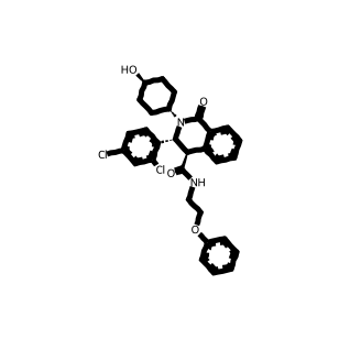 O=C(NCCOc1ccccc1)[C@@H]1c2ccccc2C(=O)N([C@H]2CC[C@H](O)CC2)[C@H]1c1ccc(Cl)cc1Cl